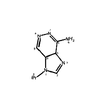 CC(C)N1C=NC2C(N)=NN=CC21